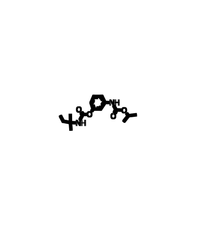 CCC(C)(C)NC(=O)Oc1cccc(NC(=O)OC(C)C)c1